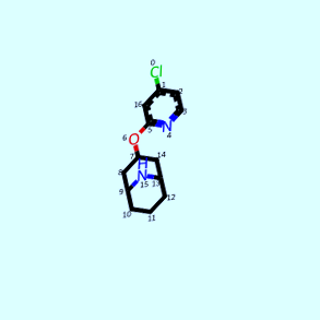 Clc1ccnc(OC2CC3CCCC(C2)N3)c1